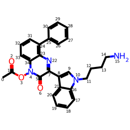 CC(=O)On1c(=O)c(-c2cn(CCCCN)c3ccccc23)nc2c(-c3ccccc3)cccc21